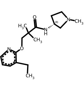 CCc1cccnc1OCC(C)(C)C(=O)N[C@@H]1CCN(C)C1